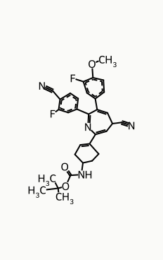 COc1ccc(C2=CC(C#N)C=C(C3=CCC(NC(=O)OC(C)(C)C)CC3)N=C2c2ccc(C#N)c(F)c2)cc1F